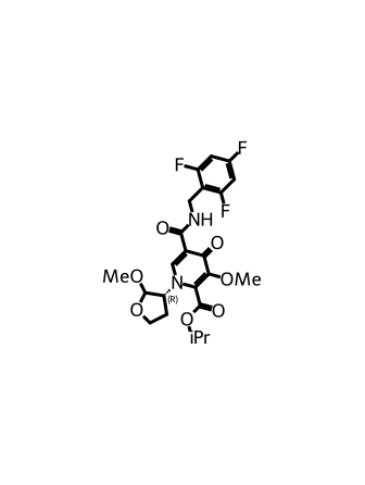 COc1c(C(=O)OC(C)C)n([C@@H]2CCOC2OC)cc(C(=O)NCc2c(F)cc(F)cc2F)c1=O